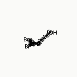 O=C(O)CCOCCOCCOCCOc1cccc(NCC(O)Cn2c3ccc(Br)cc3c3cc(Br)ccc32)c1